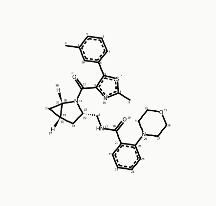 Cc1cccc(-c2sc(C)nc2C(=O)N2[C@H](CNC(=O)c3ccccc3N3CCOCC3)C[C@@H]3C[C@@H]32)c1